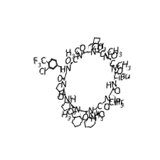 CC[C@H](C)[C@@H]1NC(=O)[C@H](CC(C)C)N(C)C(=O)C[C@@H](C(=O)N2CCCCC2)N(C)C(=O)[C@H](C2CCCCC2)N(C)C(=O)C2(CCCC2)NC(=O)[C@@H]2CCCN2C(=O)[C@H](CCc2ccc(C(F)(F)F)c(Cl)c2)NC(=O)CN(C)C(=O)[C@H](CC2CCC2)N(C)C(=O)CN(C)C(=O)CN(C)C1=O